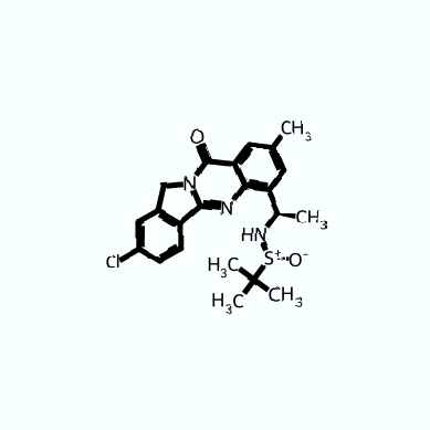 Cc1cc([C@@H](C)N[S@+]([O-])C(C)(C)C)c2nc3n(c(=O)c2c1)Cc1cc(Cl)ccc1-3